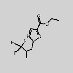 CCOC(=O)c1cnn(CC(C)C(F)(F)F)n1